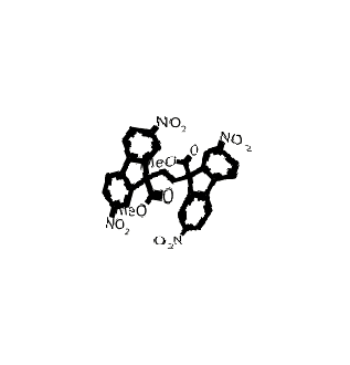 COC(=O)C1(CCC2(C(=O)OC)c3cc([N+](=O)[O-])ccc3-c3ccc([N+](=O)[O-])cc32)c2cc([N+](=O)[O-])ccc2-c2ccc([N+](=O)[O-])cc21